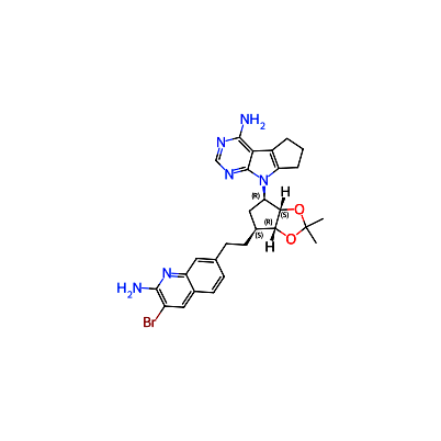 CC1(C)O[C@@H]2[C@@H](CCc3ccc4cc(Br)c(N)nc4c3)C[C@@H](n3c4c(c5c(N)ncnc53)CCC4)[C@@H]2O1